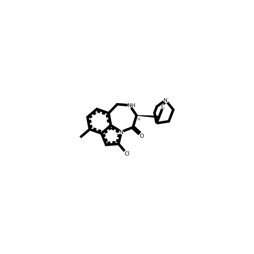 Cc1ccc2c3c1cc(Cl)n3C(=O)[C@H](C1CN3CCC1CC3)NC2